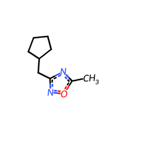 Cc1nc(CC2CCCC2)no1